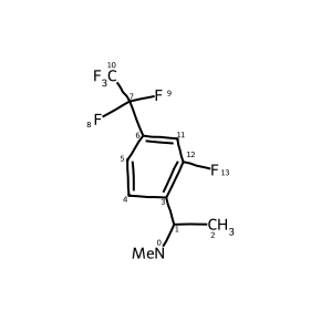 CNC(C)c1ccc(C(F)(F)C(F)(F)F)cc1F